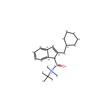 CC(C)(C)[N+](C)(C)[Si](=O)C1C(CC2CCCCC2)=Cc2ccccc21